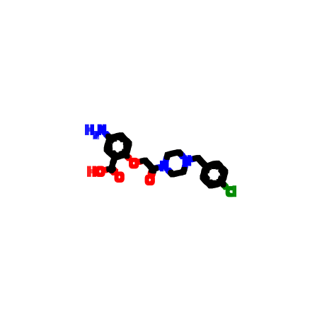 Nc1ccc(OCC(=O)N2CCN(Cc3ccc(Cl)cc3)CC2)c(C(=O)O)c1